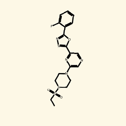 CCS(=O)(=O)N1CCN(c2cncc(-c3nnc(-c4ccccc4F)o3)n2)CC1